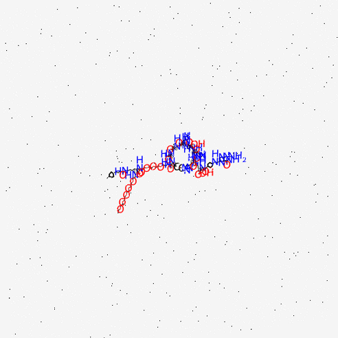 CCOCCOCCOCCOCCOCCNC(=O)[C@H](CCCCNC(=O)CCCc1ccc(C)cc1)NC(=O)COCCOCCOCCNC(=O)[C@@H]1CCCCn2cc(nn2)C[C@H](NC(=O)CC[C@H](NC(=O)c2ccc(NCc3cnc4nc(N)[nH]c(=O)c4n3)cc2)C(=O)O)C(=O)N[C@H](Cc2cnc[nH]2)C(=O)N[C@H](CO)C(=O)N[C@H](Cc2cnc[nH]2)C(=O)N[C@H](CC)C(=O)N[C@H](C)C(=O)N1